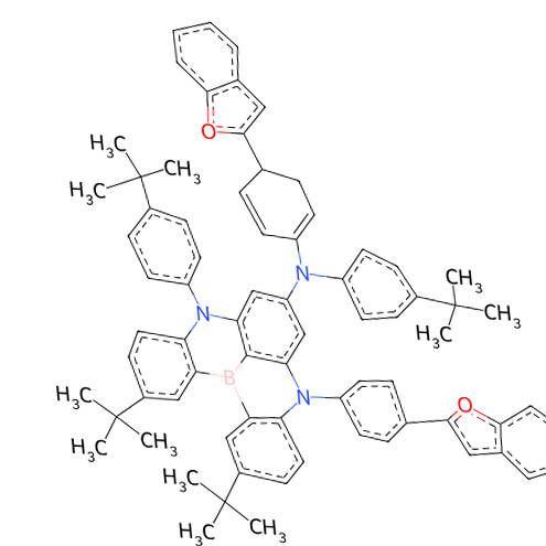 CC(C)(C)c1ccc(N(C2=CCC(c3cc4ccccc4o3)C=C2)c2cc3c4c(c2)N(c2ccc(C(C)(C)C)cc2)c2ccc(C(C)(C)C)cc2B4c2cc(C(C)(C)C)ccc2N3c2ccc(-c3cc4ccccc4o3)cc2)cc1